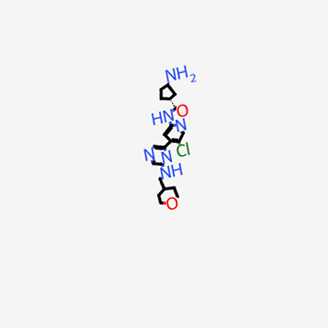 N[C@@H]1CC[C@@H](C(=O)Nc2cc(-c3cncc(NCC4CCOCC4)n3)c(Cl)cn2)C1